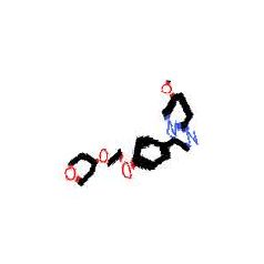 COc1ccc2ncc(-c3ccc(OCCOC4CCOCC4)cc3)n2c1